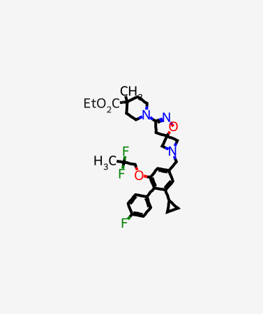 CCOC(=O)C1(C)CCN(C2=NOC3(C2)CN(Cc2cc(OCC(C)(F)F)c(-c4ccc(F)cc4)c(C4CC4)c2)C3)CC1